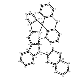 c1ccc2c(c1)Oc1ccccc1C21c2ccccc2-c2cc3c4ccccc4n(-c4ncc5ccccc5n4)c3cc21